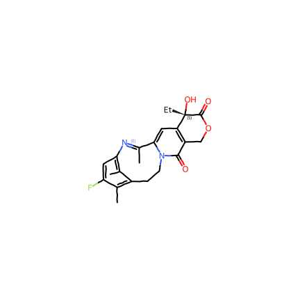 CC[C@@]1(O)C(=O)OCc2c1cc1n(c2=O)CCc2c(C)c(F)cc(c2C)/N=C/1C